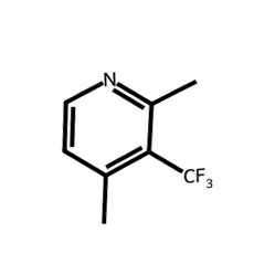 Cc1ccnc(C)c1C(F)(F)F